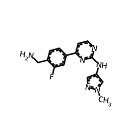 Cn1cc(Nc2nccc(-c3ccc(CN)c(F)c3)n2)cn1